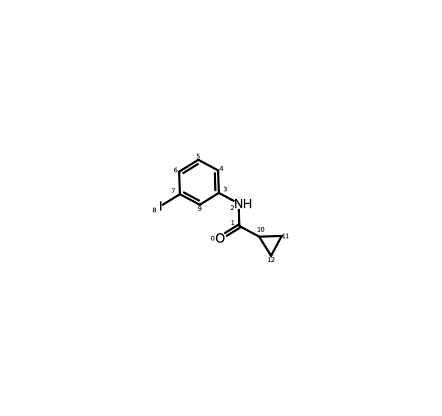 O=C(Nc1cccc(I)c1)C1CC1